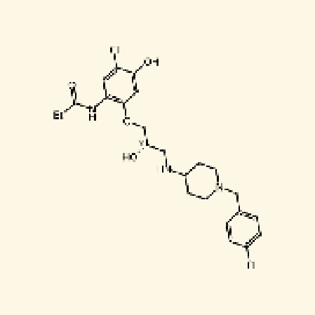 CCC(=O)Nc1cc(Cl)c(O)cc1OC[C@@H](O)CNC1CCN(Cc2ccc(Cl)cc2)CC1